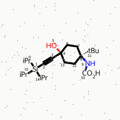 CC(C)[Si](C#C[C@]1(O)CC[C@](NC(=O)O)(C(C)(C)C)CC1)(C(C)C)C(C)C